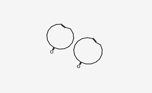 O=C1CCCCCC/C=C/CCCCCCC1.O=C1CCCCCCC/C=C/CCCCCCC1